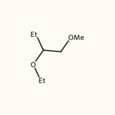 CCO[C](CC)COC